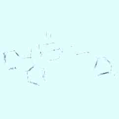 OC(c1ccccc1)(c1ccccc1)C12CC[N+](CCCc3ccccc3)(CC1)CC2.[Br-]